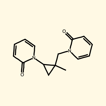 CC1(Cn2ccccc2=O)CC1n1ccccc1=O